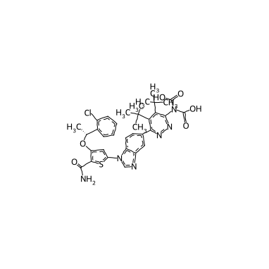 C[C@@H](Oc1cc(-n2cnc3cc(-c4nnc(N(C(=O)O)C(=O)O)c(C(C)(C)C)c4C(C)(C)C)ccc32)sc1C(N)=O)c1ccccc1Cl